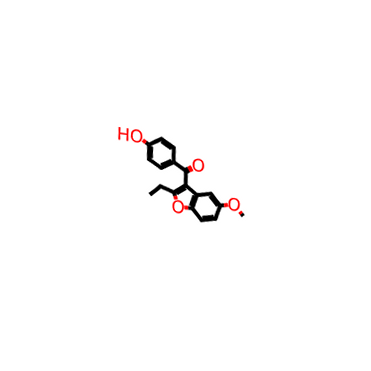 CCc1oc2ccc(OC)cc2c1C(=O)c1ccc(O)cc1